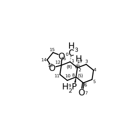 C[C@@H]1[C@H]2CCCC(=O)[C@]2(P)CCC12OCCO2